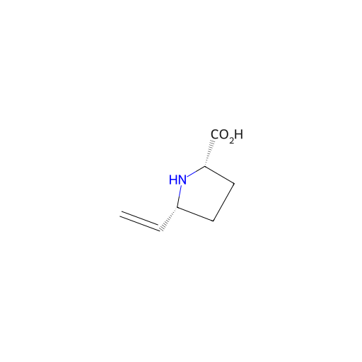 C=C[C@H]1CC[C@@H](C(=O)O)N1